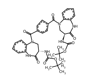 CC(C)(C)OC(=O)N[C@H]1CN(C(=O)c2ccc(C(=O)N3C[C@H](NC(=O)OC(C)(C)C)C(=O)Nc4ccccc43)cc2)c2ccccc2NC1=O